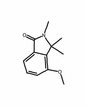 COc1cccc2c1C(C)(C)N(C)C2=O